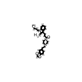 Cc1c(C=CC(=O)N2CCN(CCc3ccc4c(c3)OCO4)CC2)c2ccccc2n1CCCCl